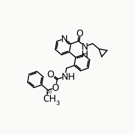 C[C@H](OC(=O)NCc1ccccc1-c1cccnc1C(=O)NCC1CC1)c1ccccc1